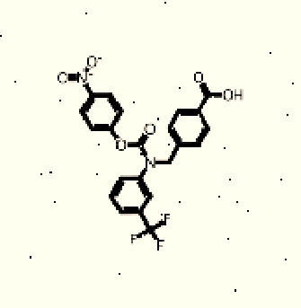 O=C(O)c1ccc(CN(C(=O)Oc2ccc([N+](=O)[O-])cc2)c2cccc(C(F)(F)F)c2)cc1